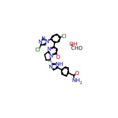 NC(=O)c1ccc(-c2cnc([C@@H]3CCc4nc(-c5cc(Cl)ccc5-n5cc(Cl)nn5)cc(=O)n43)[nH]2)cc1.O=CO